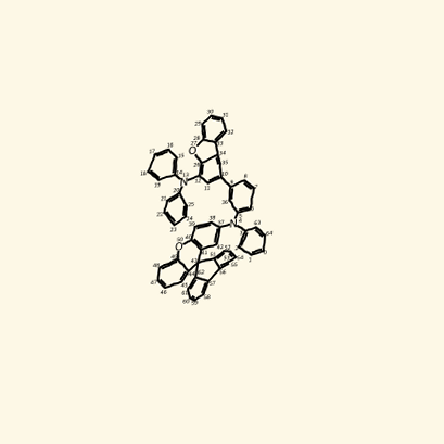 c1ccc(N(c2cccc(-c3cc(N(c4ccccc4)c4ccccc4)c4oc5ccccc5c4c3)c2)c2ccc3c(c2)C2(c4ccccc4O3)c3ccccc3-c3ccccc32)cc1